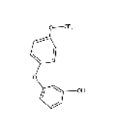 Oc1cccc(Oc2ccc(OC(F)(F)F)cc2)c1